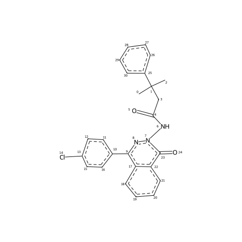 CC(C)(CC(=O)Nn1nc(-c2ccc(Cl)cc2)c2ccccc2c1=O)c1ccccc1